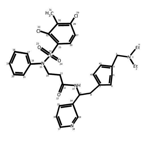 CCN(CC)Cc1ccc(CC(NC(=O)CCN(c2ccccc2)S(=O)(=O)c2ccc(Cl)c(C)c2Cl)c2cccnc2)cc1